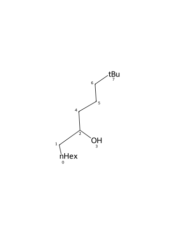 CCCCCCCC(O)CCCC(C)(C)C